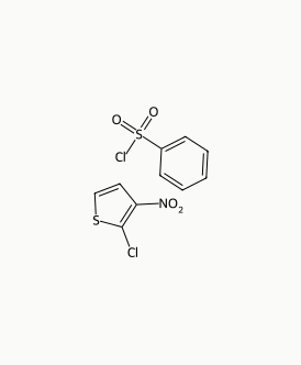 O=S(=O)(Cl)c1ccccc1.O=[N+]([O-])c1ccsc1Cl